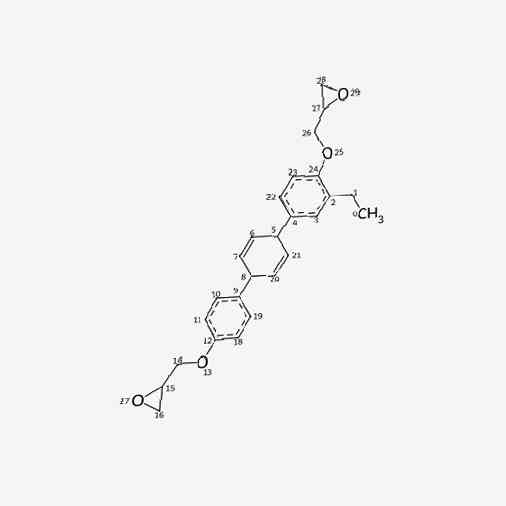 CCc1cc(C2C=CC(c3ccc(OCC4CO4)cc3)C=C2)ccc1OCC1CO1